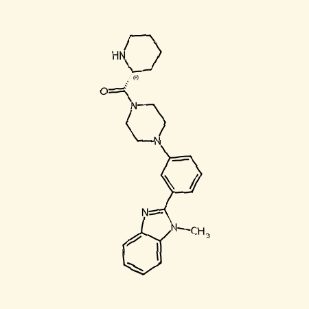 Cn1c(-c2cccc(N3CCN(C(=O)[C@H]4CCCCN4)CC3)c2)nc2ccccc21